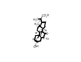 CC[C@H]1C(=O)[C@H]2[C@@H]3CCC([C@H](C)C(=O)O)C3(C)CC[C@@H]2C2(C)CC[C@@H](O)CC12